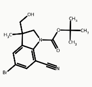 CC(C)(C)OC(=O)N1CC(C)(CO)c2cc(Br)cc(C#N)c21